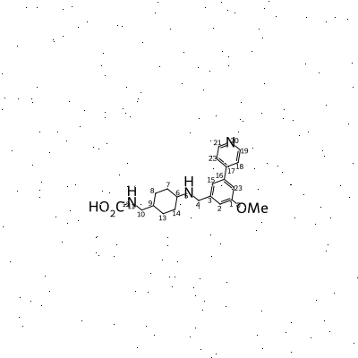 COc1cc(CNC2CCC(CNC(=O)O)CC2)cc(-c2ccncc2)c1